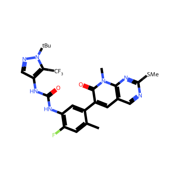 CSc1ncc2cc(-c3cc(NC(=O)Nc4cnn(C(C)(C)C)c4C(F)(F)F)c(F)cc3C)c(=O)n(C)c2n1